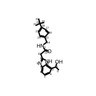 CC(O)c1cccc2nc(CC(=O)NCc3ccc(C(C)(C)C)cc3)[nH]c12